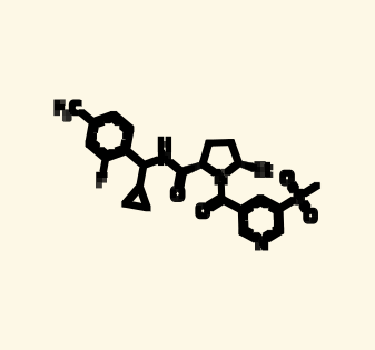 CC[C@@H]1CC[C@H](C(=O)NC(c2ccc(C(F)(F)F)cc2F)C2CC2)N1C(=O)c1cncc(S(C)(=O)=O)c1